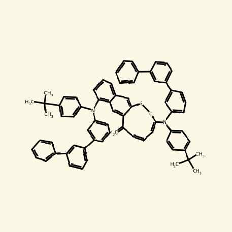 C=C1/C=C\C=C(\N(c2ccc(C(C)(C)C)cc2)c2cccc(-c3cccc(-c4ccccc4)c3)c2)CSc2cc3cccc(N(c4ccc(C(C)(C)C)cc4)c4cccc(-c5cccc(-c6ccccc6)c5)c4)c3cc21